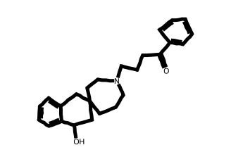 O=C(CCCN1CCCC2(CC1)Cc1ccccc1C(O)C2)c1ccccc1